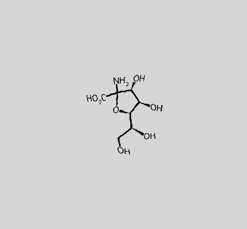 NC1(C(=O)O)O[C@H]([C@@H](O)CO)[C@H](O)[C@@H]1O